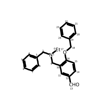 CCN(Cc1ccccc1)Cc1cc(C=O)ccc1OCc1ccccc1